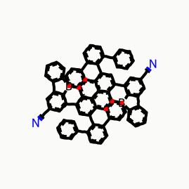 N#Cc1cc2c3c(c1)-c1cc(-c4c(-c5ccccc5)cccc4-c4ccccc4)c4cc5c6c(cc(-c7c(-c8ccccc8)cccc7-c7ccccc7)c7cc(c1c4c76)B3c1ccccc1-2)-c1cc(C#N)cc2c1B5c1ccccc1-2